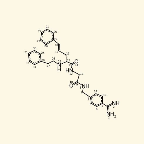 N=C(N)c1ccc(CNC(=O)CNC(=O)[C@@H](C/C=C/c2ccccc2)NCCc2ccccc2)cc1